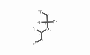 FCC(F)OC(F)(F)CF